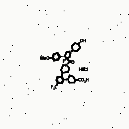 COc1ccc([C@@H]2CN(C3CCC(O)CC3)C[C@@]2(F)C(=O)N2CCC(c3ccc(C(F)(F)F)cc3N3CCC(C(=O)O)CC3)CC2)cc1.Cl.Cl